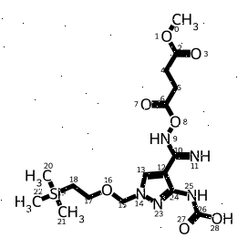 COC(=O)CCC(=O)ONC(=N)c1cn(COCC[Si](C)(C)C)nc1NC(=O)O